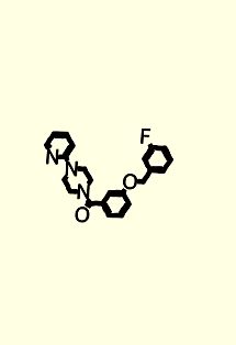 O=C(c1cccc(OCc2cccc(F)c2)c1)N1CCN(c2ccccn2)CC1